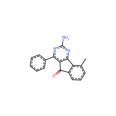 Cc1cccc2c1-c1nc(N)nc(-c3ccccc3)c1C2=O